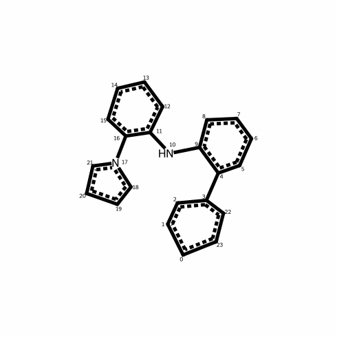 c1ccc(-c2ccccc2Nc2ccccc2-n2cccc2)cc1